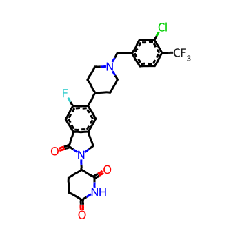 O=C1CCC(N2Cc3cc(C4CCN(Cc5ccc(C(F)(F)F)c(Cl)c5)CC4)c(F)cc3C2=O)C(=O)N1